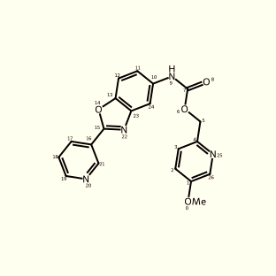 COc1ccc(COC(=O)Nc2ccc3oc(-c4cccnc4)nc3c2)nc1